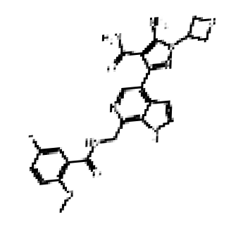 COc1ccc(F)cc1C(=O)NCc1ncc(-c2nn(C3COC3)c(N)c2C(N)=O)c2cc[nH]c12